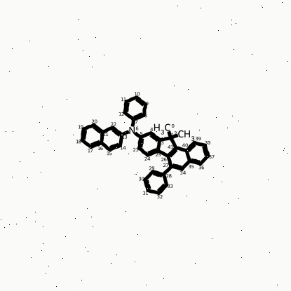 CC1(C)c2cc(N(c3ccccc3)c3ccc4ccccc4c3)ccc2-c2c(-c3ccccc3)cc3ccccc3c21